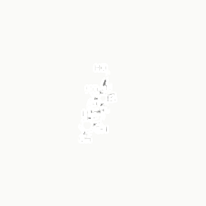 C[C@]12CC[C@H]3[C@@H](CC[C@]4(O)C[C@@H](O)CC[C@]34C)[C@@H]1C1CC[C@@H]1[C@@]2(O)C#CCO